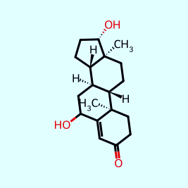 C[C@]12CC[C@H]3[C@@H](CC(O)C4=CC(=O)CC[C@@]43C)[C@@H]1CC[C@@H]2O